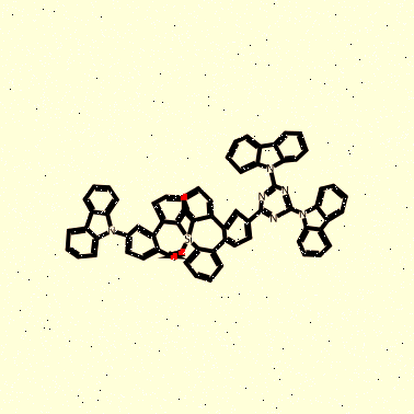 c1ccc2c(c1)-c1ccc(-c3nc(-n4c5ccccc5c5ccccc54)nc(-n4c5ccccc5c5ccccc54)n3)cc1-c1ccccc1[Si]21c2ccccc2-c2ccc(-n3c4ccccc4c4ccccc43)cc2-c2ccccc21